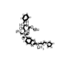 CC(C)CN(C[C@@H](O)[C@H](Cc1ccccc1)NC(=O)OC(C)(C)C)S(=O)(=O)c1ccc2nc(N(C)CCCN3CCCC3)sc2c1